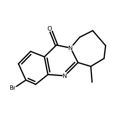 CC1CCCCn2c1nc1cc(Br)ccc1c2=O